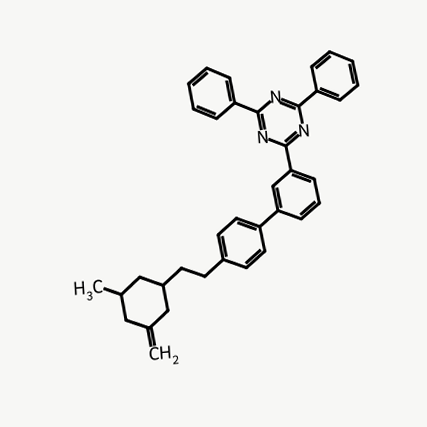 C=C1CC(C)CC(CCc2ccc(-c3cccc(-c4nc(-c5ccccc5)nc(-c5ccccc5)n4)c3)cc2)C1